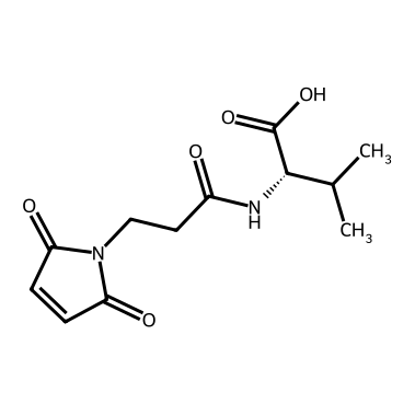 CC(C)[C@H](NC(=O)CCN1C(=O)C=CC1=O)C(=O)O